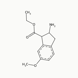 CCOC(=O)C1c2cc(OC)ccc2CC1N